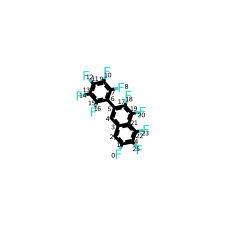 Fc1[c]c2cc(-c3c(F)c(F)c(F)c(F)c3F)c(F)c(F)c2c(F)c1F